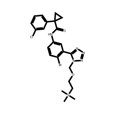 C[Si](C)(C)CCOCn1nnnc1-c1cc(NC(=O)C2(c3cccc(Cl)c3)CC2)ccc1Br